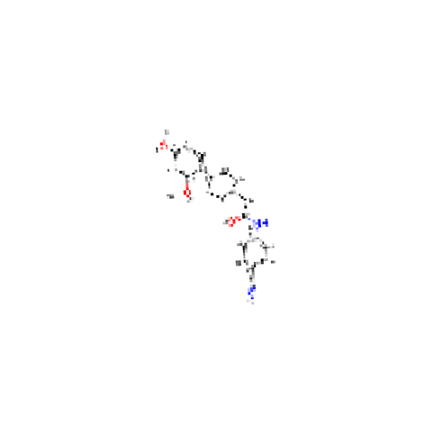 COc1ccc(C2CCC(CC(=O)Nc3ccc(C#N)cc3)CC2)c(OC)c1